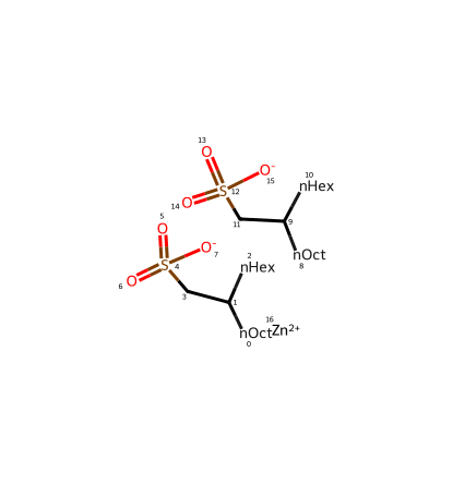 CCCCCCCCC(CCCCCC)CS(=O)(=O)[O-].CCCCCCCCC(CCCCCC)CS(=O)(=O)[O-].[Zn+2]